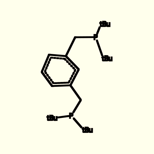 CC(C)(C)P(Cc1cccc(CP(C(C)(C)C)C(C)(C)C)c1)C(C)(C)C